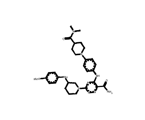 COc1ccc(NC2CCCN(c3nnc(C(N)=O)c(Nc4ccc(N5CCC(C(=O)N(C)C)CC5)cc4)n3)C2)cc1